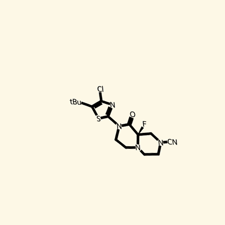 CC(C)(C)c1sc(N2CCN3CCN(C#N)C[C@@]3(F)C2=O)nc1Cl